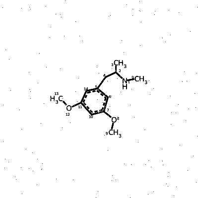 CNC(C)Cc1cc(OC)cc(OC)c1